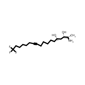 C[C@H](N)[C@@H](O)C[C@@H](O)CCCCCC#CCCCCCC(F)(F)F